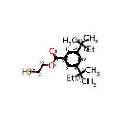 CCC(C)(C)c1cc(C(=O)OCCS)cc(C(C)(C)CC)c1